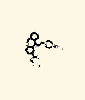 COC(=O)c1ccc2c(c1)/C(=C/CN1CCN(C)CC1)c1ccccc1CO2